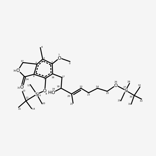 COc1c(C)c2c(c(O[Si](C)(C)C(C)(C)C)c1CC(O)C(C)=CCCCO[Si](C)(C)C(C)(C)C)C(=O)OC2